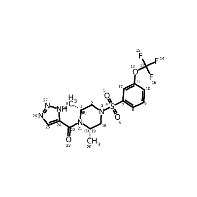 C[C@@H]1CN(S(=O)(=O)c2cccc(OC(F)(F)F)c2)C[C@H](C)N1C(=O)c1cnn[nH]1